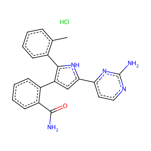 Cc1ccccc1-c1[nH]c(-c2ccnc(N)n2)cc1-c1ccccc1C(N)=O.Cl